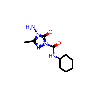 Cc1nn(C(=O)NC2CCCCC2)c(=O)n1N